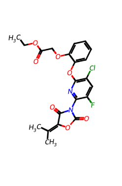 CCOC(=O)COc1ccccc1Oc1nc(N2C(=O)OC(=C(C)C)C2=O)c(F)cc1Cl